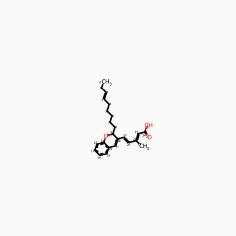 CCC=CCCCCCC1Oc2ccccc2C=C1C=CC(C)=CC(=O)O